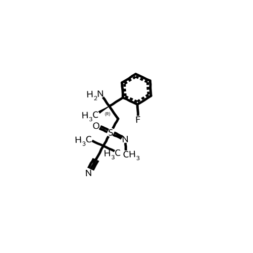 CN=S(=O)(C[C@](C)(N)c1ccccc1F)C(C)(C)C#N